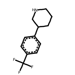 FC(F)(F)c1ccc(C2CCCNC2)cc1